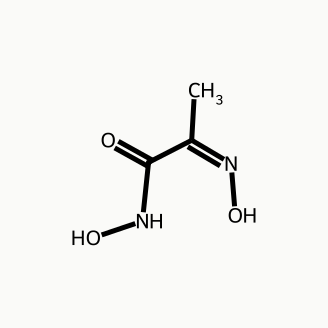 CC(=NO)C(=O)NO